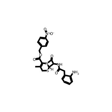 CC1=C(C(=O)OCc2ccc([N+](=O)[O-])cc2)N2C(=O)C(NC(=O)Cc3ccccc3N)[C@H]2SC1